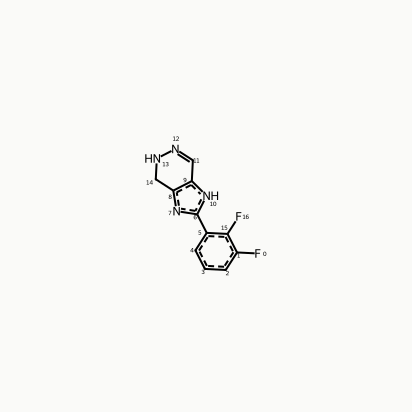 Fc1cccc(-c2nc3c([nH]2)C=NNC3)c1F